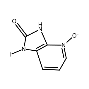 O=c1[nH]c2c(ccc[n+]2[O-])n1I